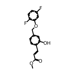 COC(=O)/C=C/c1ccc(COc2cc(F)ccc2F)cc1O